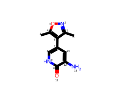 Cc1noc(C)c1-c1c[nH]c(=O)c(N)c1